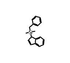 C[Si](C)(Cc1ccccc1)[C]1C=Cc2ccccc21